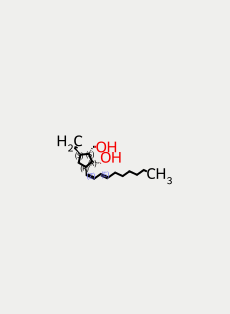 C=C[C@@H]1C[C@H](/C=C\C=C\CCCCCC)[C@@H](CO)[C@H]1CO